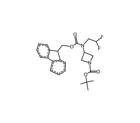 CC(C)(C)OC(=O)N1CC(N(CC(F)F)C(=O)OCC2c3ccccc3-c3ccccc32)C1